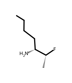 CCCC[C@@H](N)[C@@H](C)F